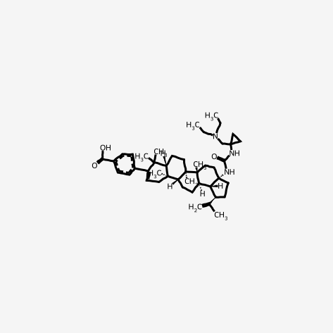 C=C(C)[C@@H]1CC[C@]2(NC(=O)NC3(CN(CC)CC)CC3)CC[C@]3(C)[C@H](CC[C@@H]4[C@@]5(C)CC=C(c6ccc(C(=O)O)cc6)C(C)(C)[C@@H]5CC[C@]43C)[C@@H]12